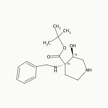 CC(C)(C)OC(=O)[C@]1(NCc2ccccc2)CCNC[C@@H]1O